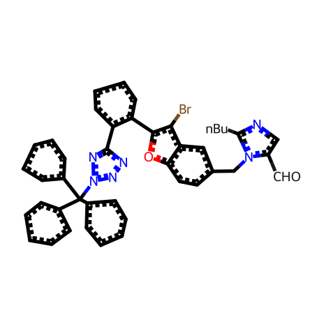 CCCCc1ncc(C=O)n1Cc1ccc2oc(-c3ccccc3-c3nnn(C(c4ccccc4)(c4ccccc4)c4ccccc4)n3)c(Br)c2c1